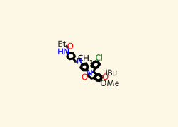 CCC(=O)NC1CCC(CN(C)c2ccc(N3C(=O)Cc4cc(OC)c(OC(C)CC)cc4C3c3ccc(Cl)cc3)cc2)CC1